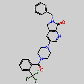 O=C(c1ccccc1C(F)(F)F)N1CCN(c2cnc3c(c2)CN(Cc2ccccc2)C3=O)CC1